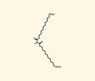 [CH2]C(C(=O)CCCCCCCCCCCCCCCCCCCCC)C(=O)CCCCCCCCCCCCCCCCCCCCC